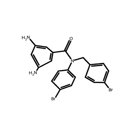 Nc1cc(N)cc(C(=O)N(Cc2ccc(Br)cc2)c2ccc(Br)cc2)c1